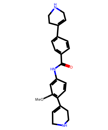 COc1cc(NC(=O)c2ccc(C3=CCNCC3)cc2)ccc1C1=CCNCC1